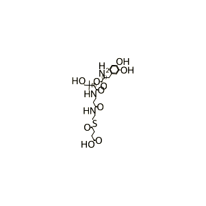 CC(C)(CO)[C@@H](OC(=O)[C@@H](N)Cc1ccc(O)c(O)c1)C(=O)NCCC(=O)NCCSC(=O)CCC(=O)O